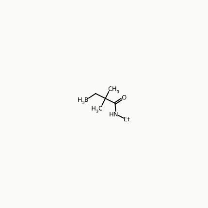 BCC(C)(C)C(=O)NCC